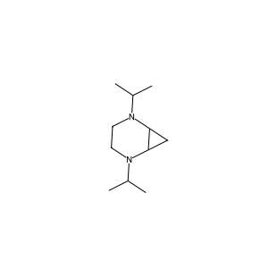 CC(C)N1CCN(C(C)C)C2CC21